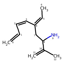 C=C/C=C\C(=C/C)CC(N)C(=C)C